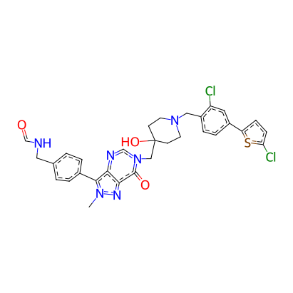 Cn1nc2c(=O)n(CC3(O)CCN(Cc4ccc(-c5ccc(Cl)s5)cc4Cl)CC3)cnc2c1-c1ccc(CNC=O)cc1